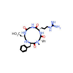 CC(C)[C@H]1C(=O)N[C@@H](CCCNC(=N)N)C(=O)NCC(=O)N[C@@H](CC(=O)O)CN[C@H](Cc2ccccc2)C(=O)N1C